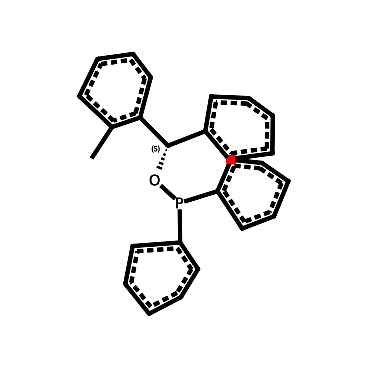 Cc1ccccc1[C@@H](OP(c1ccccc1)c1ccccc1)c1ccccc1